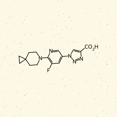 O=C(O)c1cn(-c2cnc(N3CCC4(CC3)CC4)c(F)c2)nn1